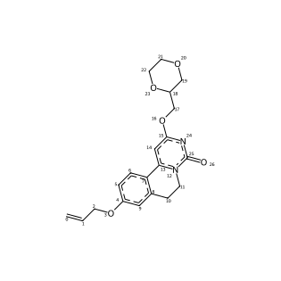 C=CCOc1ccc2c(c1)CCn1c-2cc(OCC2COCCO2)nc1=O